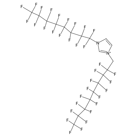 FC(F)(F)C(F)(F)C(F)(F)C(F)(F)C(F)(F)C(F)(F)C(F)(F)C(F)(F)C[n+]1ccn(C(F)(F)C(F)(F)C(F)(F)C(F)(F)C(F)(F)C(F)(F)C(F)(F)C(F)(F)F)c1